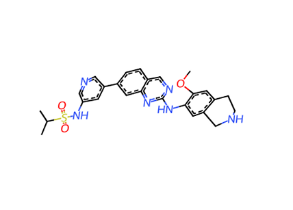 COc1cc2c(cc1Nc1ncc3ccc(-c4cncc(NS(=O)(=O)C(C)C)c4)cc3n1)CNCC2